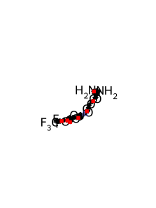 Nc1cc(N)cc(C(=O)OCCOCCOC(=O)/C=C/c2ccc(OC(=O)c3ccc(OCCCC(F)(F)C(F)(F)F)cc3)cc2)c1